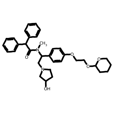 CN(C(=O)C(c1ccccc1)c1ccccc1)C(CN1CCC(O)C1)c1ccc(OCCOC2CCCCO2)cc1